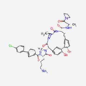 C[C@@H]1NC(=O)[C@@H](N(C)C(=O)[C@H](CCCCN)NC(=O)c2ccc(-c3ccc(Cl)cc3)cc2)c2ccc(O)c(c2)-c2cc(ccc2O)C[C@@H](C(=O)N[C@@H](C)C(=O)N2CCC2)NC1=O